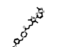 COc1cccc(CN2CCN(C(=O)CCCc3c(C)nn(-c4ccc5nnc(C)n5n4)c3C)CC2)c1